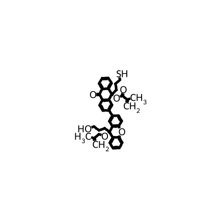 C=C(C)COC1(CCCO)c2ccccc2Oc2ccc(-c3ccc4c(c3)C(CCCS)(OC(=O)C(=C)C)c3ccccc3C4=O)cc21